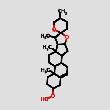 CC1CCC2(OC1)OC1CC3C4CC=C5CC(OO)CCC5(C)C4CCC3(C)C1C2C